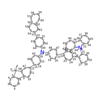 CC1(C)c2ccccc2-c2ccc(-c3ccc(N(c4ccc(-c5ccc(-c6ccccc6-n6c7ccccc7c7ccccc76)cc5)cc4)c4ccc(-c5ccc6ccccc6c5)cc4)cc3)cc21